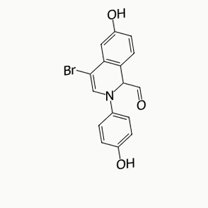 O=CC1c2ccc(O)cc2C(Br)=CN1c1ccc(O)cc1